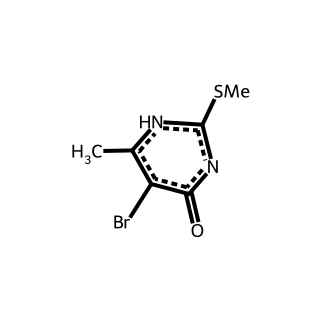 CSc1nc(=O)c(Br)c(C)[nH]1